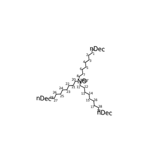 CCCCCCCCCCCCCCCCCC[N+]([O-])(CCCCCCCCCCCCCCCCCC)CCCCCCCCCCCCCCCCCC